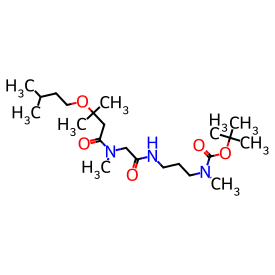 CC(C)CCOC(C)(C)CC(=O)N(C)CC(=O)NCCCN(C)C(=O)OC(C)(C)C